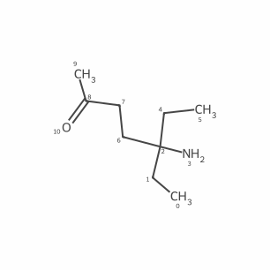 CCC(N)(CC)CCC(C)=O